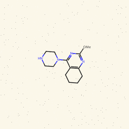 COc1nc2c(c(N3CCNCC3)n1)CCCC2